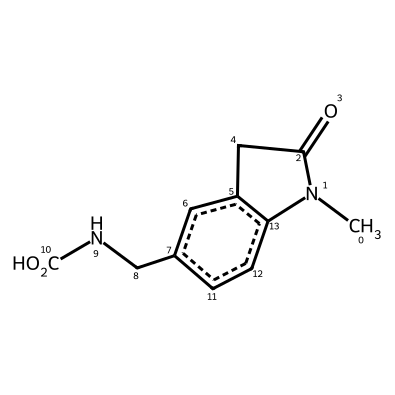 CN1C(=O)Cc2cc(CNC(=O)O)ccc21